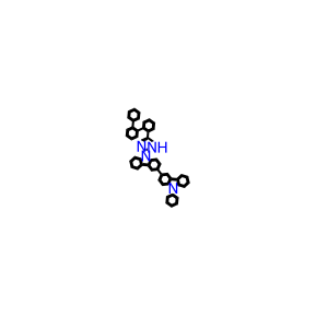 C1=C(c2ccccc2-c2ccccc2-c2ccccc2)CNC(n2c3ccccc3c3cc(-c4ccc5c(c4)c4ccccc4n5-c4ccccc4)ccc32)=N1